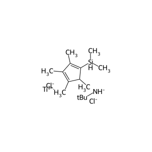 CC(C)(C)[NH-].CC1=C(C)C(C)C([SiH](C)C)=C1C.[Cl-].[Cl-].[Ti+3]